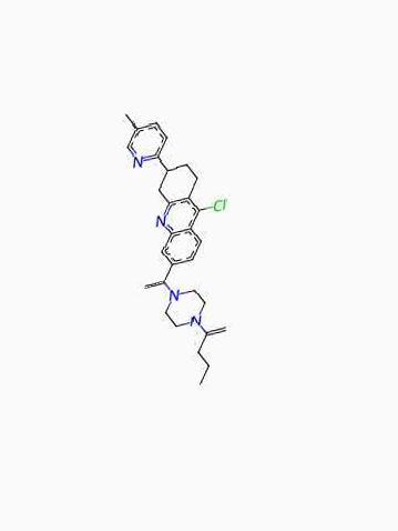 C=C(CCC)N1CCN(C(=C)c2ccc3c(Cl)c4c(nc3c2)CC(c2ccc(C)cn2)CC4)CC1